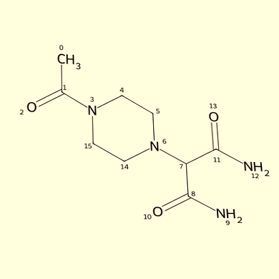 CC(=O)N1CCN(C(C(N)=O)C(N)=O)CC1